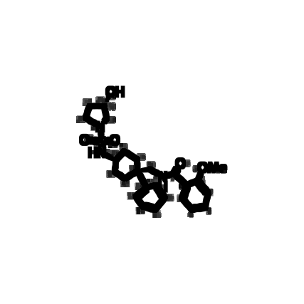 COc1ccccc1C(=O)NC[C@]1(c2ccccc2)CC[C@H](NS(=O)(=O)N2CC[C@H](O)C2)CC1